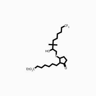 CCOC(=O)CCCCCCC1C(=O)CCC1SCC(O)C(C)(C)CCCCCC(F)(F)F